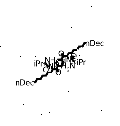 CCCCCCCCCCCCCCCCCC(NC(=O)[C@@H](N)C(C)C)C(=O)c1ccc(C(=O)C(CCCCCCCCCCCCCCCCC)NC(=O)[C@@H](N)C(C)C)cc1